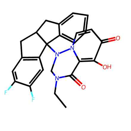 CCN1CN(C23c4ccccc4CC2Cc2cc(F)c(F)cc23)n2ccc(=O)c(O)c2C1=O